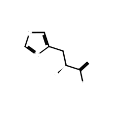 CCC(=O)[C@@H](N)Cc1c[nH]cn1